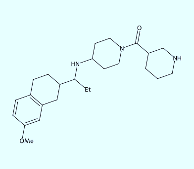 CCC(NC1CCN(C(=O)C2CCCNC2)CC1)C1CCc2ccc(OC)cc2C1